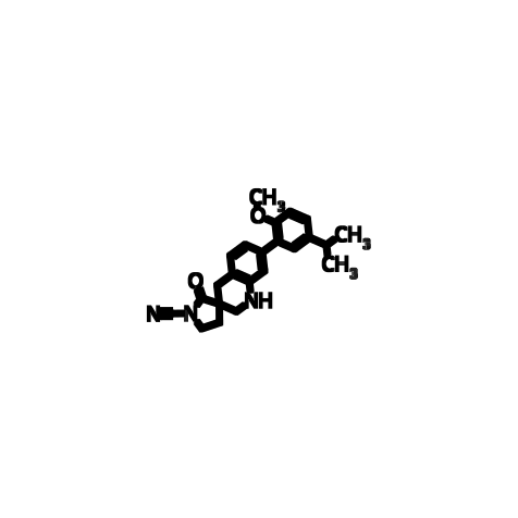 COc1ccc(C(C)C)cc1-c1ccc2c(c1)NCC1(CCN(C#N)C1=O)C2